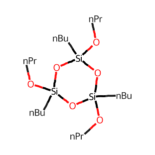 CCCC[Si]1(OCCC)O[Si](CCCC)(OCCC)O[Si](CCCC)(OCCC)O1